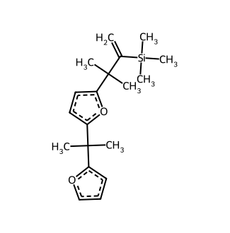 C=C(C(C)(C)c1ccc(C(C)(C)c2ccco2)o1)[Si](C)(C)C